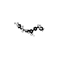 Nc1ccc(CNC(=O)NCc2cc3cc(-c4ccc(C(O)N5CCC(F)(F)CC5)cc4)cc(C(F)(F)F)c3o2)cn1